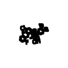 COc1ccc(S(=O)(=O)N(c2ccc(Cl)cc2Cc2c(F)cccc2F)C(C)C(=O)O)cc1OC